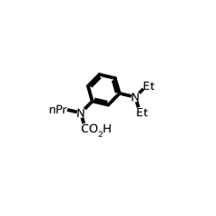 CCCN(C(=O)O)c1cccc(N(CC)CC)c1